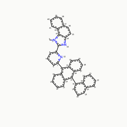 Cn1c(-c2cccc(-c3c4ccccc4c(-c4cccc5ccccc45)c4ccccc34)n2)nc2ccc3ccccc3c21